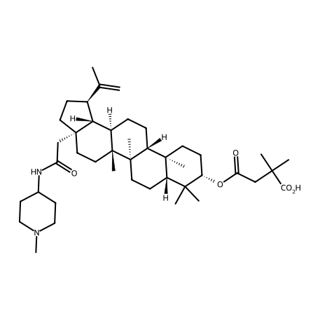 C=C(C)[C@@H]1CC[C@]2(CC(=O)NC3CCN(C)CC3)CC[C@]3(C)[C@H](CC[C@@H]4[C@@]5(C)CC[C@H](OC(=O)CC(C)(C)C(=O)O)C(C)(C)[C@@H]5CC[C@]43C)[C@@H]12